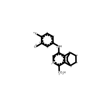 O=C(O)c1ncc(Nc2ccc(F)c(Cl)c2)c2c1C1CCC2CC1